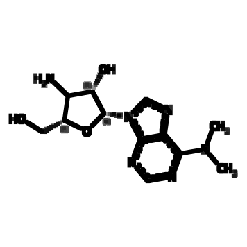 CN(C)c1ncnc2c1ncn2[C@@H]1O[C@H](CO)C(N)[C@@H]1O